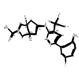 Cc1ccc(F)cc1-c1cc(C(F)(F)F)c(OC2C[C@@H]3CN(C(=O)O)C[C@@H]3C2)nn1